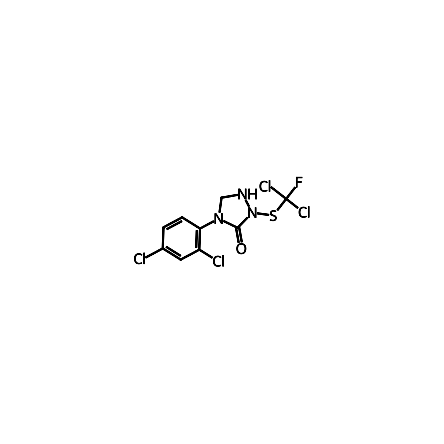 O=C1N(SC(F)(Cl)Cl)NCN1c1ccc(Cl)cc1Cl